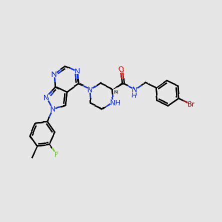 Cc1ccc(-n2cc3c(N4CCN[C@H](C(=O)NCc5ccc(Br)cc5)C4)ncnc3n2)cc1F